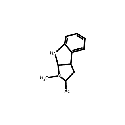 CC(=O)C1CC2c3ccccc3NC2N1C